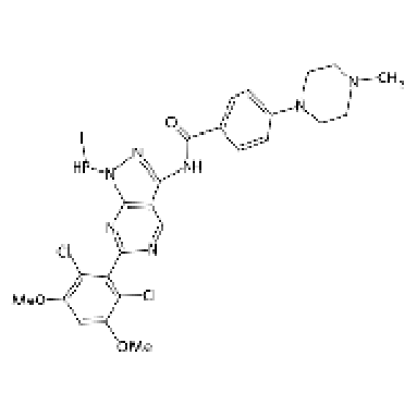 COc1cc(OC)c(Cl)c(-c2ncc3c(NC(=O)c4ccc(N5CCN(C)CC5)cc4)nn(PI)c3n2)c1Cl